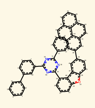 c1ccc(-c2cccc(-c3nc(-c4ccccc4)nc(-c4cccc5oc6ccc(-c7cc8ccc9cccc%10ccc(c7)c8c9%10)cc6c45)n3)c2)cc1